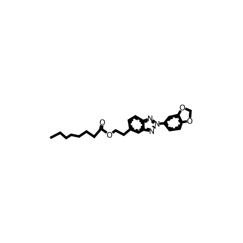 CCCCCCCC(=O)OCCc1ccc2nn(-c3ccc4c(c3)OCO4)nc2c1